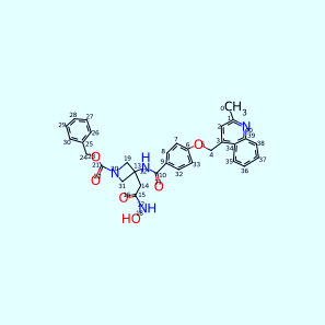 Cc1cc(COc2ccc(C(=O)NC3(CC(=O)NO)CN(C(=O)OCc4ccccc4)C3)cc2)c2ccccc2n1